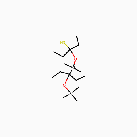 CCC(S)(CC)O[Si](C)(C)C(CC)(CC)O[Si](C)(C)C